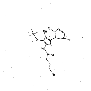 C[Si](C)(C)Oc1c(NC(=O)CCCBr)oc(-c2cc(F)ccc2Cl)c1O